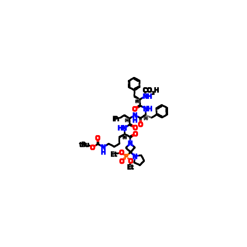 CCOP(=O)(OCC)C1(N2CCCC2)CN(C(=O)[C@@H](CCCCNC(=O)OC(C)(C)C)NC(=O)[C@@H](CC(C)C)NC(=O)[C@@H](Cc2ccccc2)NC(=O)[C@@H](Cc2ccccc2)NC(=O)O)C1